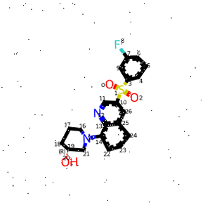 O=S(=O)(c1cccc(F)c1)c1cnc2c(N3CCC[C@@H](O)C3)cccc2c1